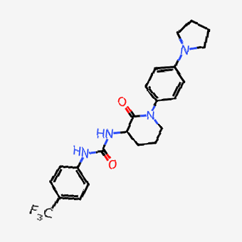 O=C(Nc1ccc(C(F)(F)F)cc1)NC1CCCN(c2ccc(N3CCCC3)cc2)C1=O